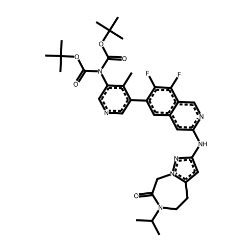 Cc1c(-c2cc3cc(Nc4cc5n(n4)CC(=O)N(C(C)C)CC5)ncc3c(F)c2F)cncc1N(C(=O)OC(C)(C)C)C(=O)OC(C)(C)C